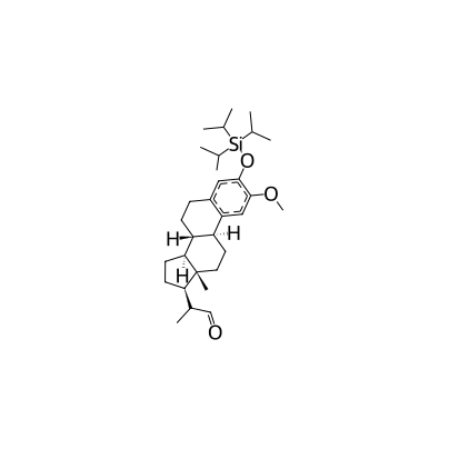 COc1cc2c(cc1O[Si](C(C)C)(C(C)C)C(C)C)CC[C@@H]1[C@@H]2CC[C@]2(C)[C@@H](C(C)C=O)CC[C@@H]12